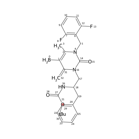 BC1=C(C)N(Cc2c(F)cccc2F)C(=O)N(CC(Cc2ccccc2)NC(=O)OC(C)(C)C)C1=C